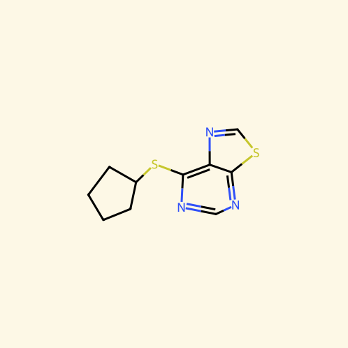 c1nc(SC2CCCC2)c2ncsc2n1